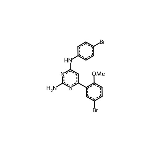 COc1ccc(Br)cc1-c1cc(Nc2ccc(Br)cc2)nc(N)n1